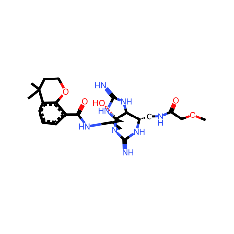 COCC(=O)NC[C@@H]1NC(=N)N2CC(NC(=O)c3cccc4c3OCCC4(C)C)[C@@H](O)C23NC(=N)NC13